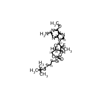 COc1nc(N)nc2c1ncn2[C@@H]1O[C@@H]2CO[P@](=O)(OCCSSC(C)(C)C)O[C@H]2[C@@]1(C)F